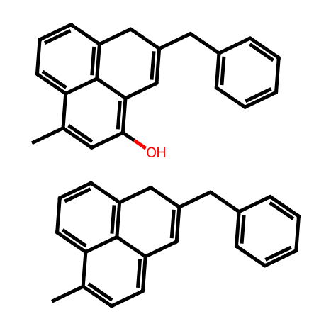 Cc1cc(O)c2c3c(cccc13)CC(Cc1ccccc1)=C2.Cc1ccc2c3c(cccc13)CC(Cc1ccccc1)=C2